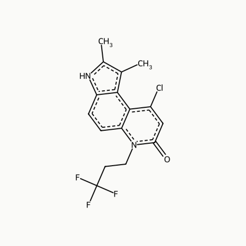 Cc1[nH]c2ccc3c(c(Cl)cc(=O)n3CCC(F)(F)F)c2c1C